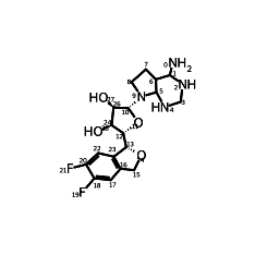 NC1NCNC2C1CCN2[C@@H]1O[C@H]([C@@H]2OCc3cc(F)c(F)cc32)[C@@H](O)[C@H]1O